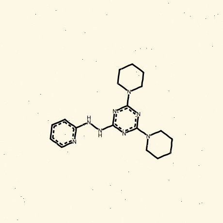 c1ccc(NNc2nc(N3CCCCC3)nc(N3CCCCC3)n2)nc1